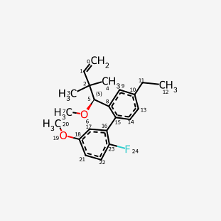 C=CC(C)(C)[C@H](OC)c1cc(CC)ccc1-c1cc(OC)ccc1F